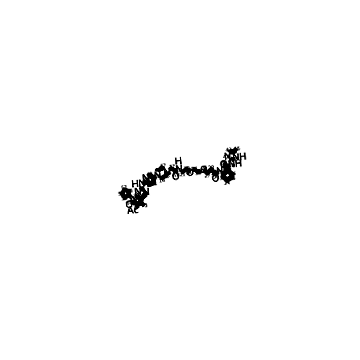 CC(=O)c1c(C)c2cnc(Nc3ccc(N4CCN(CC(=O)NCCOCCOCCC(=O)Nc5ccccc5C(=O)Nc5ncc(C)[nH]5)CC4)cn3)nc2n(C2CCCC2)c1=O